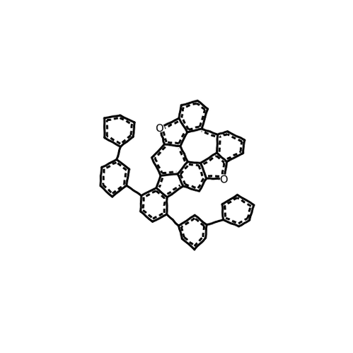 c1ccc(-c2cccc(-c3ccc(-c4cccc(-c5ccccc5)c4)c4c5cc6oc7cccc8c9cccc%10oc%11cc(c34)c5c(c%11c%109)c6c78)c2)cc1